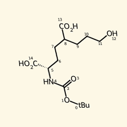 CC(C)(C)OC(=O)N[C@@H](CCC(CCCO)C(=O)O)C(=O)O